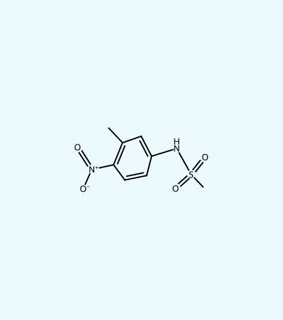 Cc1cc(NS(C)(=O)=O)ccc1[N+](=O)[O-]